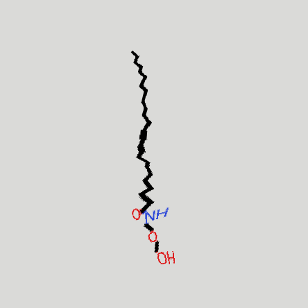 CCCCCCCCCCCCC#CC#CCCCCCCCCC(=O)NCCOCCO